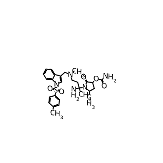 Cc1ccc(S(=O)(=O)n2cc(CN(C)CCC(C)(N)N3C(=O)C(OC(N)=O)CC3C)c3ccccc32)cc1